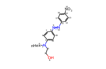 CCCCCCN(CCO)c1ccc(/N=N/c2ccc([N+](=O)[O-])cc2)cc1